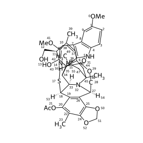 COc1ccc2[nH]c3c(c2c1)C[C@H](CO)N[C@]31CS[C@@H]2c3c(OC(C)=O)c(C)c4c(c3[C@H](COC1=O)N1[C@@H]2C2c3c(cc(C)c(OC)c3O)CC1(C)CN2C)OCO4